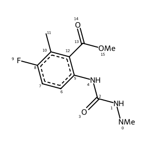 CNNC(=O)Nc1ccc(F)c(C)c1C(=O)OC